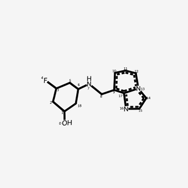 OC1CC(F)CC(NCc2cccn3ccnc23)C1